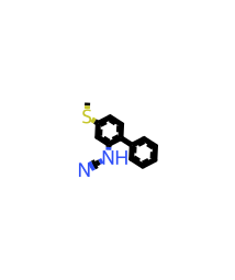 CSc1ccc(-c2ccccc2)c(NC#N)c1